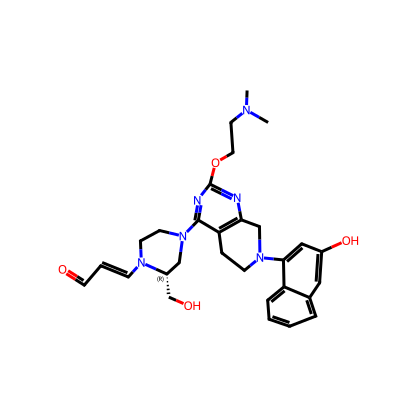 CN(C)CCOc1nc2c(c(N3CCN(C=CC=O)[C@@H](CO)C3)n1)CCN(c1cc(O)cc3ccccc13)C2